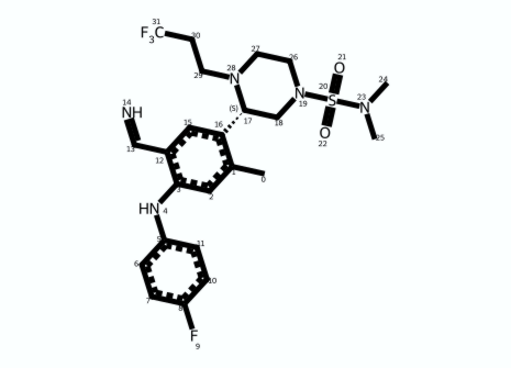 Cc1cc(Nc2ccc(F)cc2)c(C=N)cc1[C@H]1CN(S(=O)(=O)N(C)C)CCN1CCC(F)(F)F